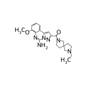 CCN1CCC2(CCN(C(=O)c3cc4c5cccc(OC)c5nc(N)n4n3)C2)C1